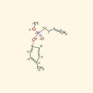 C=CCSP(=O)(OCC)Oc1ccc(C)cc1